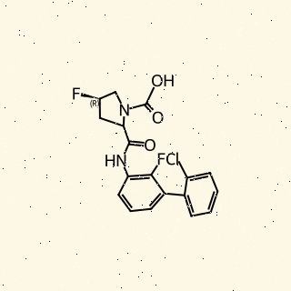 O=C(Nc1cccc(-c2ccccc2Cl)c1F)C1C[C@@H](F)CN1C(=O)O